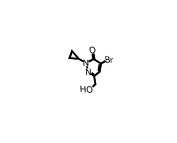 O=c1c(Br)cc(CO)nn1C1CC1